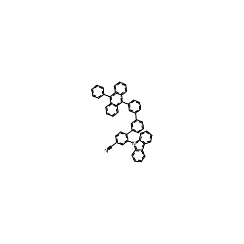 N#Cc1ccc(-c2cccc(-c3cccc(-c4c5ccccc5c(-c5ccccc5)c5ccccc45)c3)c2)c(-n2c3ccccc3c3ccccc32)c1